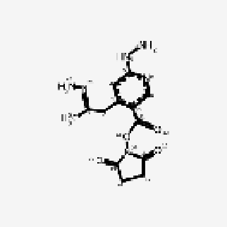 CC(Cc1cc(NN)ncc1C(=O)ON1C(=O)CCC1=O)=NN